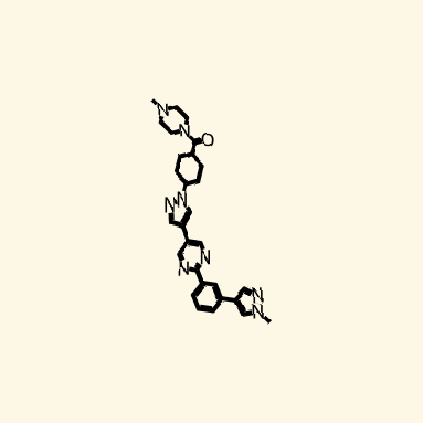 CN1CCN(C(=O)C2CCC(n3cc(-c4cnc(-c5cccc(-c6cnn(C)c6)c5)nc4)cn3)CC2)CC1